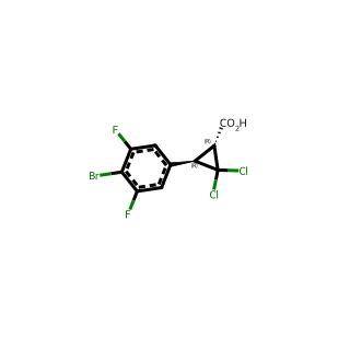 O=C(O)[C@H]1[C@H](c2cc(F)c(Br)c(F)c2)C1(Cl)Cl